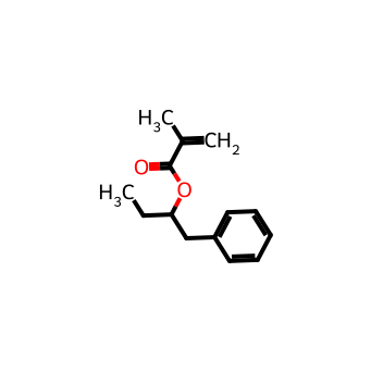 C=C(C)C(=O)OC(CC)Cc1ccccc1